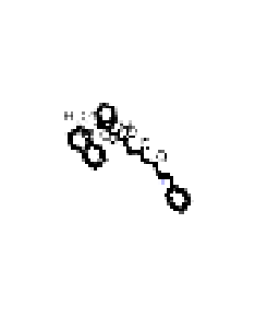 CC1(C)[C@H]2CC[C@]1(C)[C@@H](c1cccc3ccccc13)[C@H]2OC(=O)CC(=O)CC(=O)/C=C/c1ccccc1